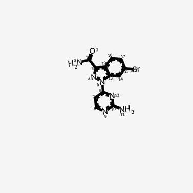 NC(=O)c1nn(-c2ccnc(N)n2)c2cc(Br)ccc12